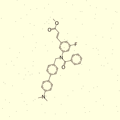 COC(=O)/C=C/c1cc(F)cc(N(Cc2ccc(-c3ccc(N(C)C)cc3)cc2)C(=O)c2ccccc2)c1